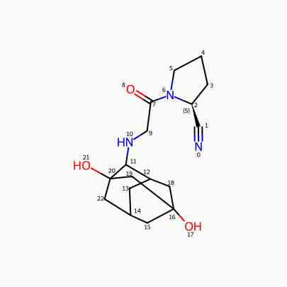 N#C[C@@H]1CCCN1C(=O)CNC1C2CC3CC(O)(C2)CC1(O)C3